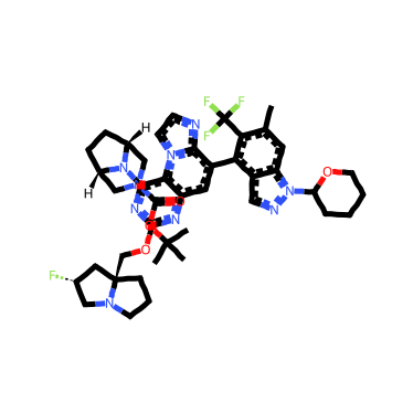 Cc1cc2c(cnn2C2CCCCO2)c(-c2cc3nc(OC[C@@]45CCCN4C[C@H](F)C5)nc(N4[C@@H]5CC[C@H]4CN(C(=O)OC(C)(C)C)C5)c3n3ccnc23)c1C(F)(F)F